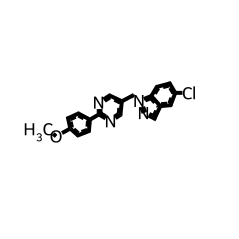 COc1ccc(-c2ncc(Cn3ncc4cc(Cl)ccc43)cn2)cc1